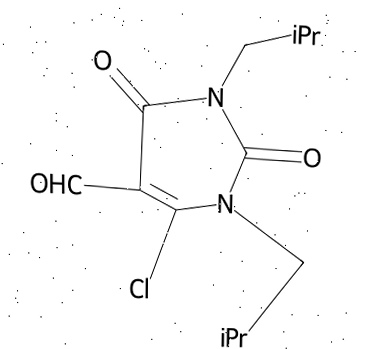 CC(C)Cn1c(Cl)c(C=O)c(=O)n(CC(C)C)c1=O